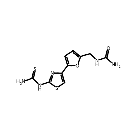 NC(=O)NCc1ccc(-c2csc(NC(N)=S)n2)o1